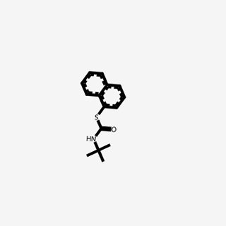 CC(C)(C)NC(=O)Sc1cccc2ccccc12